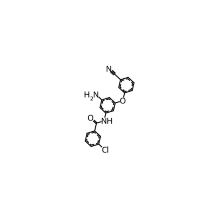 N#Cc1cccc(Oc2cc(N)cc(NC(=O)c3cccc(Cl)c3)c2)c1